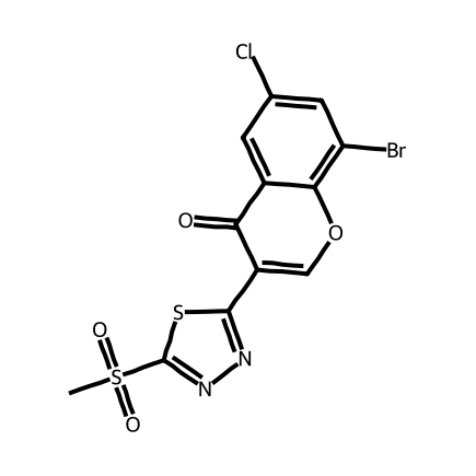 CS(=O)(=O)c1nnc(-c2coc3c(Br)cc(Cl)cc3c2=O)s1